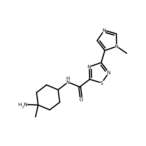 Cn1cncc1-c1nsc(C(=O)NC2CCC(C)(N)CC2)n1